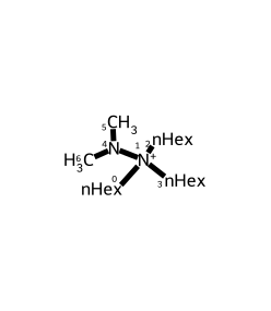 CCCCCC[N+](CCCCCC)(CCCCCC)N(C)C